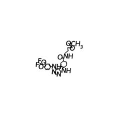 CS(=O)(=O)CCCNC(=O)C1CCc2[nH]c3ncnc(Nc4ccc5c(c4)OC(F)(F)O5)c3c2C1